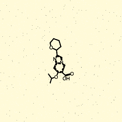 CC(C)Oc1cc2nc(C3CCCCO3)cn2cc1C(=O)O